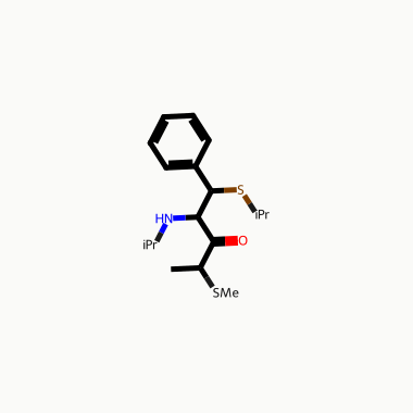 CSC(C)C(=O)C(NC(C)C)C(SC(C)C)c1ccccc1